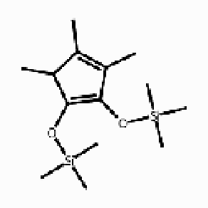 CC1=C(C)C(C)C(O[Si](C)(C)C)=C1O[Si](C)(C)C